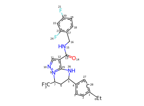 CCc1ccc(C2CC(C(F)(F)F)n3ncc(C(=O)NCc4ccc(F)cc4F)c3N2)cc1